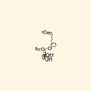 CCCCCCCCCCCCCCc1cccc(OCC(COP(=O)(O)O)OC(C)=O)c1